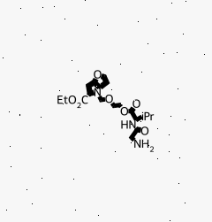 CCOC(=O)c1cc2occc2n1COCCOC(=O)C(NC(=O)CN)C(C)C